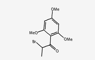 COc1cc(OC)c(C(=O)C(C)Br)c(OC)c1